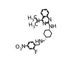 CN(C)c1nc(N[C@H]2CC[C@@H](CNCc3ccc([N+](=O)[O-])cc3F)CC2)nc2ccccc12